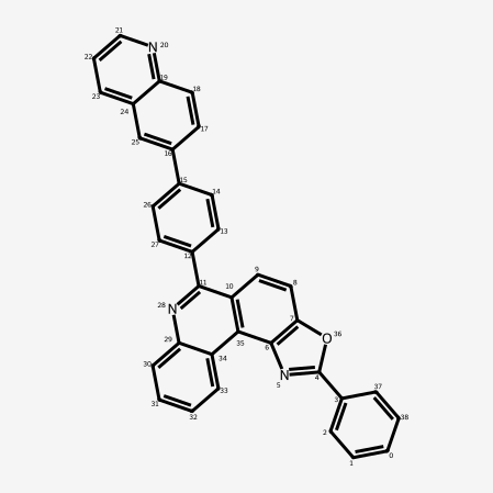 c1ccc(-c2nc3c(ccc4c(-c5ccc(-c6ccc7ncccc7c6)cc5)nc5ccccc5c43)o2)cc1